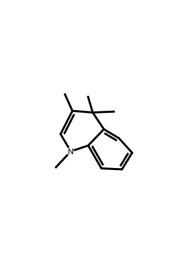 CC1=CN(C)c2ccccc2C1(C)C